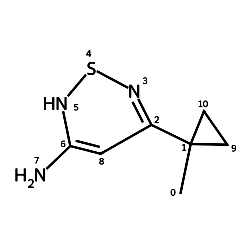 CC1(C2=NSNC(N)=C2)CC1